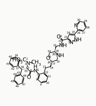 CN(C(=O)O)[C@H](C(=O)Nc1ccccc1CC[C@@H]1CN[C@H](CNC(=O)c2cc(-c3ccccn3)[nH]n2)CO1)C(c1ccccc1)c1ccccc1